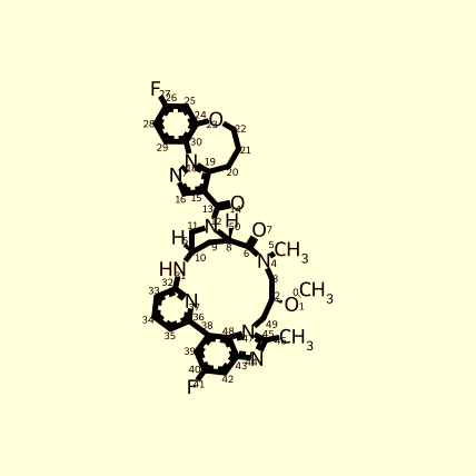 CO[C@H]1CN(C)C(=O)[C@@H]2C[C@@H](CN2C(=O)c2cnn3c2CCCOc2cc(F)ccc2-3)Nc2cccc(n2)-c2cc(F)cc3nc(C)n(c23)C1